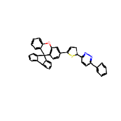 C1=C(c2ccc3c(c2)Oc2ccccc2C32c3ccccc3-c3ccccc32)SC(c2ccc(-c3ccccc3)nn2)C1